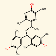 Cc1cc(O)c(C(C)(C)C)cc1C(C)CC(c1cc(C(C)(C)C)c(O)cc1C)c1cc(C(C)(C)C)c(O)cc1C